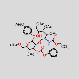 CCCCOCC1O[C@@H](Oc2ccc(OC)cc2)C(OCC(NC(=O)OCC(Cl)(Cl)Cl)[C@@H](OC(C)=O)[C@H](OC(C)=O)C(O)COC(C)=O)[C@@H](OC(=O)Oc2ccccc2)[C@@H]1OC(C)=O